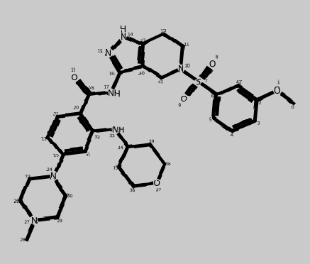 COc1cccc(S(=O)(=O)N2CCc3[nH]nc(NC(=O)c4ccc(N5CCN(C)CC5)cc4NC4CCOCC4)c3C2)c1